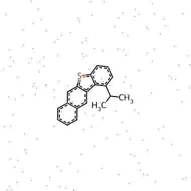 CC(C)c1cccc2sc3cc4ccccc4cc3c12